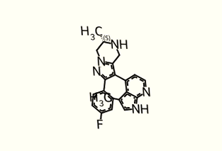 Cc1c[nH]c2nccc(-c3c(-c4ccc(F)cc4)nn4c3CN[C@@H](C)C4)c12